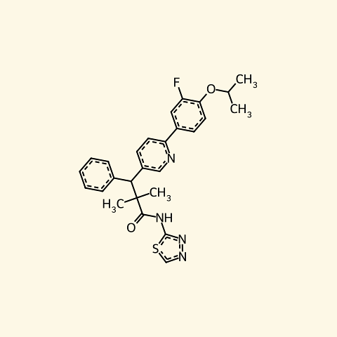 CC(C)Oc1ccc(-c2ccc(C(c3ccccc3)C(C)(C)C(=O)Nc3nncs3)cn2)cc1F